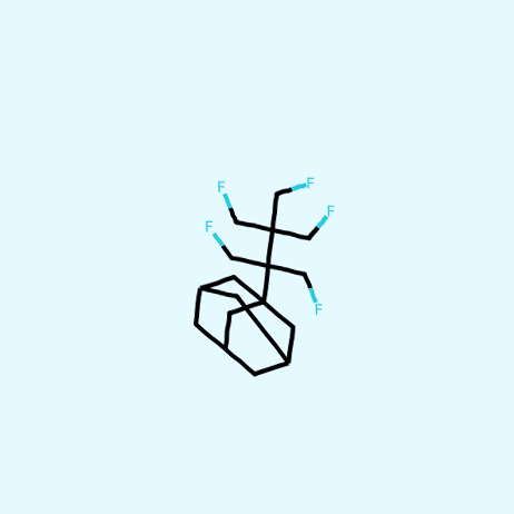 FCC(CF)(CF)C(CF)(CF)C12CC3CC(CC(C3)C1)C2